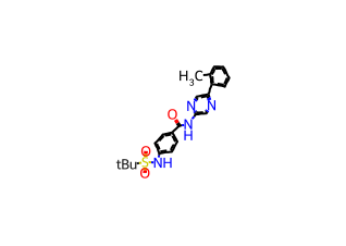 Cc1ccccc1-c1cnc(NC(=O)c2ccc(NS(=O)(=O)C(C)(C)C)cc2)cn1